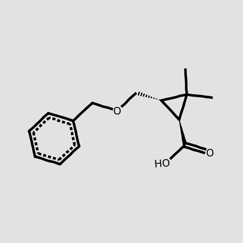 CC1(C)[C@@H](COCc2ccccc2)[C@@H]1C(=O)O